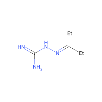 CCC(CC)=NNC(=N)N